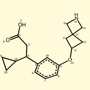 O=C(O)CC(c1cccc(OC2CC3(CNC3)C2)c1)C1CC1